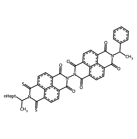 CCCCCCCC(C)N1C(=S)c2ccc3c4c(ccc(c24)C1=S)C(=O)N(N1C(=O)c2ccc4c5c(ccc(c25)C1=O)C(=O)N(C(C)c1ccccc1)C4=O)C3=O